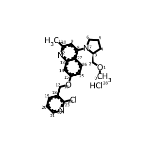 COC[C@@H]1CCCN1c1cc(C)nc2cc(OCc3cccnc3Cl)ccc12.Cl